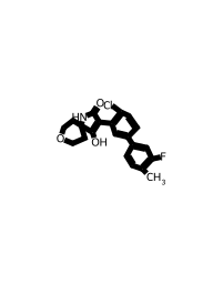 Cc1ccc(-c2ccc(Cl)c(C3=C(O)C4(CCOCC4)NC3=O)c2)cc1F